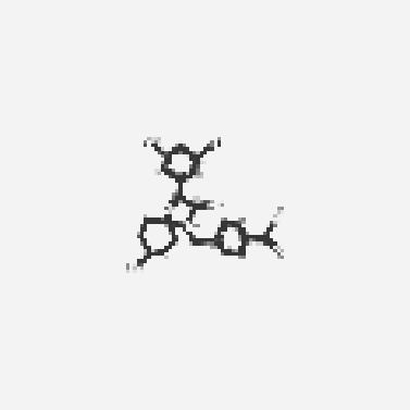 CC(C)C1CCC2(CC1)N=C(c1cc(Cl)cc(Cl)c1)C(=O)N2Cc1ccc(C(=O)Cl)cc1